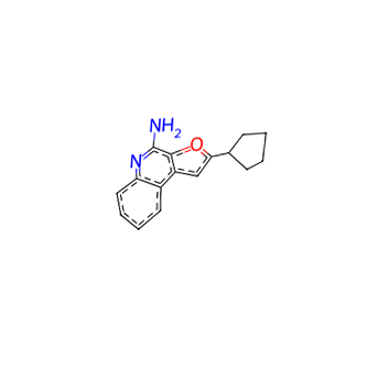 Nc1nc2ccccc2c2cc(C3CCCC3)oc12